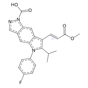 COC(=O)/C=C/c1c(C(C)C)n(-c2ccc(F)cc2)c2cc3cnn(C(=O)O)c3cc12